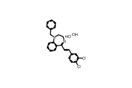 Cl.Cl.Clc1ccc(C=CC2=NCCN(Cc3ccccc3)c3ccccc32)cc1Cl